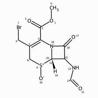 COC(=O)C1=C(CBr)C[S+]([O-])[C@H]2C(NC=O)C(=O)N12